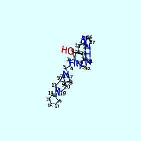 OC(CCCCN1CCC2(CCN(C3CCCCC3)CC2)C1)C(Cc1ncc[nH]1)Cc1ncc[nH]1